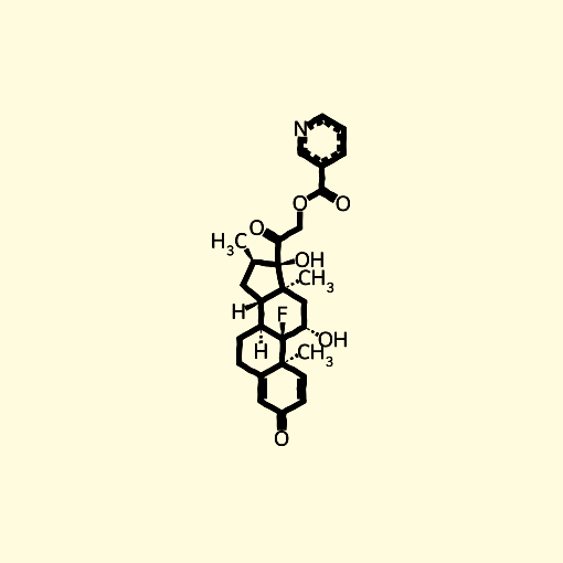 C[C@@H]1C[C@H]2[C@@H]3CCC4=CC(=O)C=C[C@]4(C)[C@@]3(F)[C@@H](O)C[C@]2(C)[C@@]1(O)C(=O)COC(=O)c1cccnc1